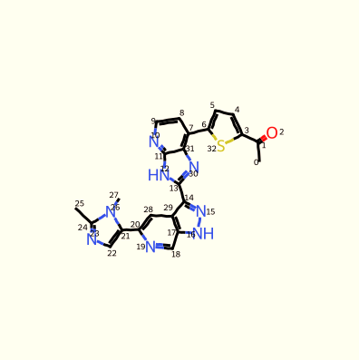 CC(=O)c1ccc(-c2ccnc3[nH]c(-c4n[nH]c5cnc(-c6cnc(C)n6C)cc45)nc23)s1